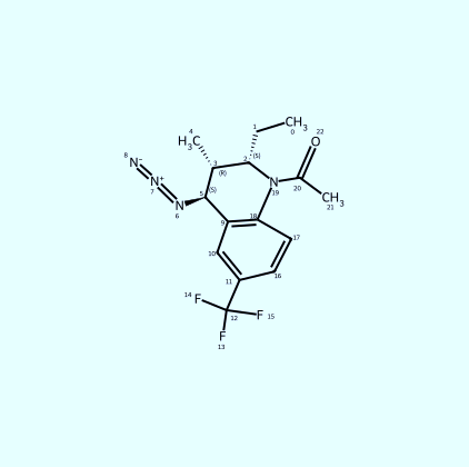 CC[C@H]1[C@@H](C)[C@H](N=[N+]=[N-])c2cc(C(F)(F)F)ccc2N1C(C)=O